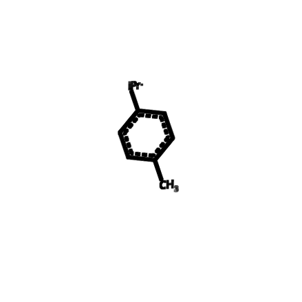 C[C](C)c1ccc(C)cc1